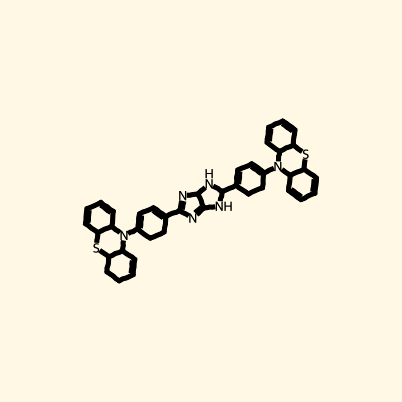 C1=CC2SC3C=CC=CC3N(C3=CC=C(C4NC5=NC(C6=CC=C(N7C8C=CC=CC8SC8CCC=CC87)CC6)=NC5N4)CC3)C2C=C1